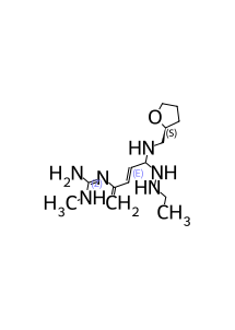 C=C(/C=C/C(NC[C@@H]1CCCO1)NNCC)/N=C(/N)NC